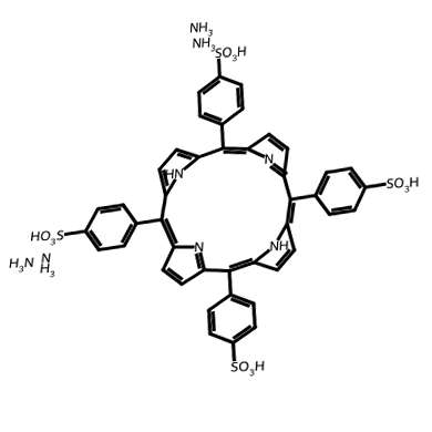 N.N.N.N.O=S(=O)(O)c1ccc(-c2c3nc(c(-c4ccc(S(=O)(=O)O)cc4)c4ccc([nH]4)c(-c4ccc(S(=O)(=O)O)cc4)c4nc(c(-c5ccc(S(=O)(=O)O)cc5)c5ccc2[nH]5)C=C4)C=C3)cc1